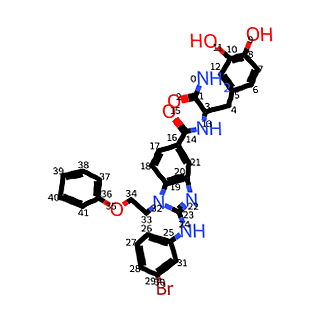 NC(=O)C(Cc1ccc(O)c(O)c1)NC(=O)c1ccc2c(c1)nc(Nc1cccc(Br)c1)n2CCOc1ccccc1